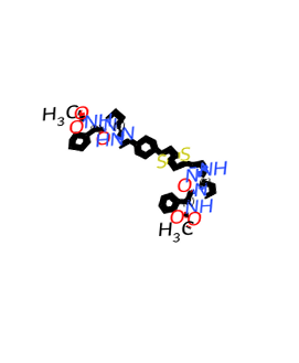 COC(=O)N[C@@H](C(=O)N1CC=C[C@H]1c1nc(-c2ccc(-c3cc4sc(-c5c[nH]c([C@@H]6C=CCN6C(=O)[C@H](NC(=O)OC)c6ccccc6)n5)cc4s3)cc2)c[nH]1)c1ccccc1